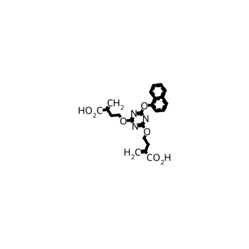 C=C(CCOc1nc(OCCC(=C)C(=O)O)nc(Oc2cccc3ccccc23)n1)C(=O)O